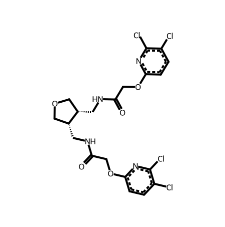 O=C(COc1ccc(Cl)c(Cl)n1)NC[C@@H]1COC[C@@H]1CNC(=O)COc1ccc(Cl)c(Cl)n1